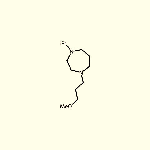 COCCCN1CCCN(C(C)C)CC1